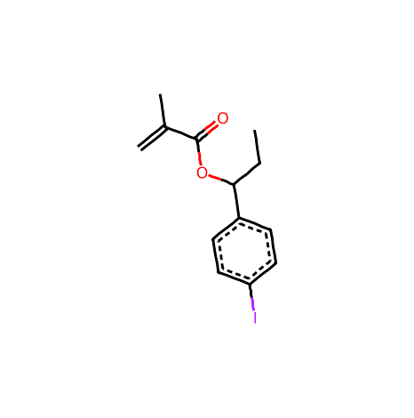 C=C(C)C(=O)OC(CC)c1ccc(I)cc1